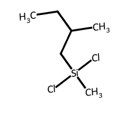 CCC(C)C[Si](C)(Cl)Cl